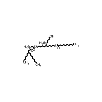 CCCCCCCCCC(=O)OCCCCCC(CCCCCOC(=O)CN(C)C(=O)CC(CCCCCC)CCCCCCCC)N(C)CCCCO